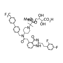 COC(=O)C(C)(C)N1CCC(N(Cc2ccc(-c3ccc(C(F)(F)F)cc3)cc2)C(=O)Cc2cccc3[nH]c(CCc4ccc(F)cc4F)nc(=O)c23)CC1.O=C(O)C(O)C(O)C(=O)O